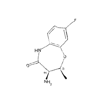 C[C@@H]1Oc2cc(F)ccc2NC(=O)[C@@H]1N